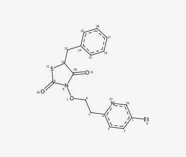 CCc1ccc(CCON2C(=O)SC(Cc3ccccc3)C2=O)nc1